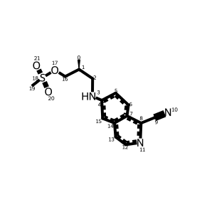 C[C@@H](CNc1ccc2c(C#N)nccc2c1)COS(C)(=O)=O